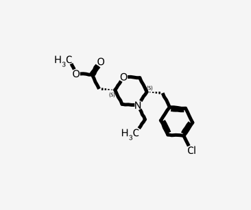 CCN1C[C@H](CC(=O)OC)OC[C@@H]1Cc1ccc(Cl)cc1